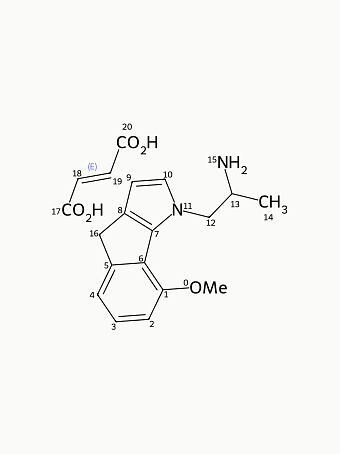 COc1cccc2c1-c1c(ccn1CC(C)N)C2.O=C(O)/C=C/C(=O)O